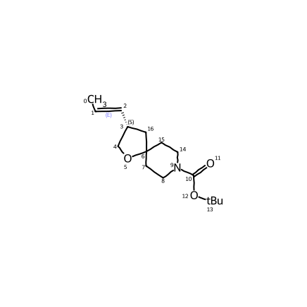 C/C=C/[C@H]1COC2(CCN(C(=O)OC(C)(C)C)CC2)C1